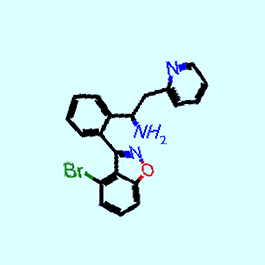 NC(Cc1ccccn1)c1ccccc1-c1noc2cccc(Br)c12